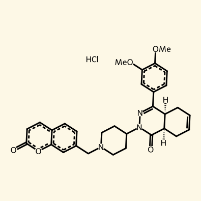 COc1ccc(C2=NN(C3CCN(Cc4ccc5ccc(=O)oc5c4)CC3)C(=O)[C@@H]3CC=CC[C@H]23)cc1OC.Cl